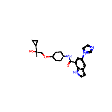 CC(O)(COC1CCC(NC(=O)c2cc(-n3ccnc3)cc3cc[nH]c23)CC1)C1CC1